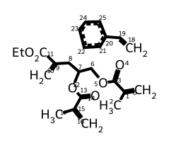 C=C(C)C(=O)OCC(CC(=C)C(=O)OCC)OC(=O)C(=C)C.C=Cc1ccccc1